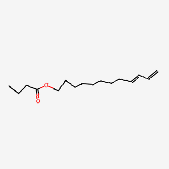 C=CC=CCCCCCCCCOC(=O)CCC